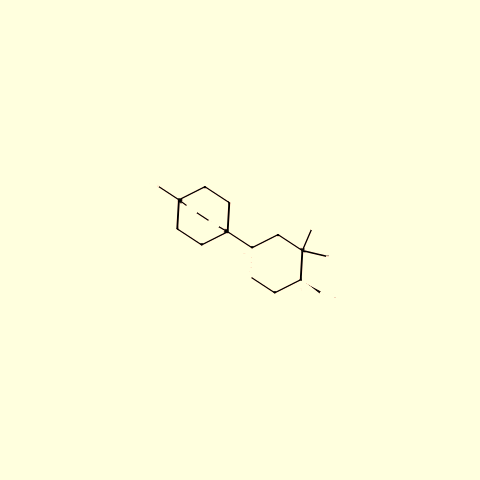 CCCC[C@H]1CC[C@H](C23CCC(CCCC)(CC2)CC3)CC1(F)F